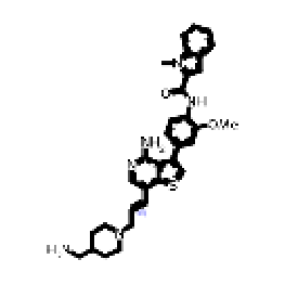 COc1cc(-c2csc3c(/C=C/CN4CCC(CN)CC4)cnc(N)c23)ccc1NC(=O)c1cc2ccccc2n1C